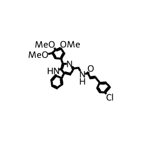 COc1cc(-c2nc(CNC(=O)/C=C/c3ccc(Cl)cc3)cc3c2[nH]c2ccccc23)cc(OC)c1OC